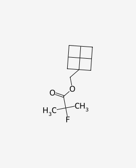 CC(C)(F)C(=O)OCC12CC3CC4CC(C1)C432